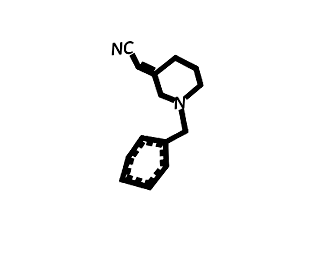 N#CC=C1CCCN(Cc2ccccc2)C1